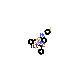 C[C@H](NS(=O)(=O)Cc1ccccc1)[C@H](Oc1ccc2c(cnn2-c2ccc(F)cc2)c1)c1ccccc1